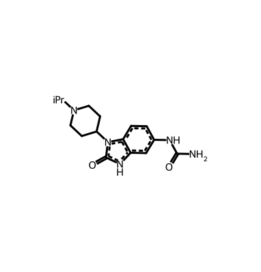 CC(C)N1CCC(n2c(=O)[nH]c3cc(NC(N)=O)ccc32)CC1